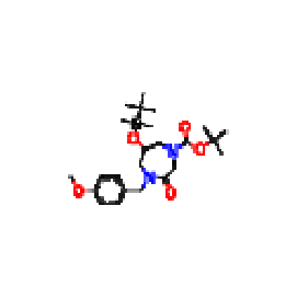 COc1ccc(CN2CC(O[Si](C)(C)C(C)(C)C)CN(C(=O)OC(C)(C)C)CC2=O)cc1